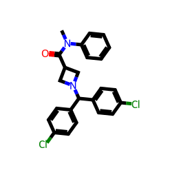 CN(C(=O)C1CN(C(c2ccc(Cl)cc2)c2ccc(Cl)cc2)C1)c1ccccc1